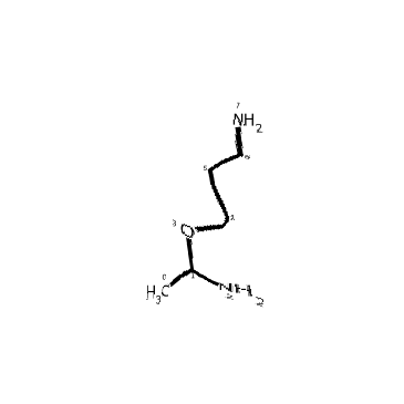 CC(N)OCCCN